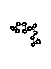 c1cc(-c2cccc(-n3c4ccccc4c4cc5c(cc43)c3ccccc3n5-c3cccc(-c4cccc(-n5c6ccccc6c6ccccc65)c4)n3)n2)cc(-n2c3ccccc3c3ccccc32)c1